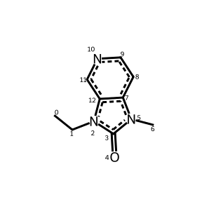 CCn1c(=O)n(C)c2ccncc21